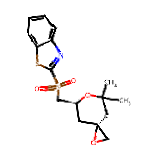 CC1(C)C[C@@]2(CO2)C[C@@H](CS(=O)(=O)c2nc3ccccc3s2)O1